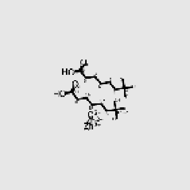 CC(C)(C)CCCCCC(=O)O.CC(C)(C)CCCCCC(=O)O.[O-2].[Zn+2].[Zn+2]